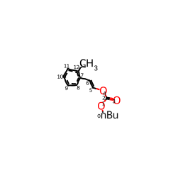 CCCCOC(=O)OC=Cc1ccccc1C